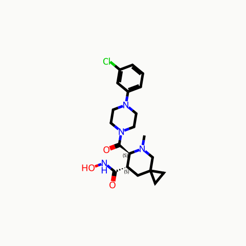 CN1CC2(CC2)C[C@H](C(=O)NO)[C@H]1C(=O)N1CCN(c2cccc(Cl)c2)CC1